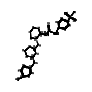 CS(=O)(=O)c1ccc(NC(=O)N[C@@H]2CCCC[C@H]2CN2CCC[C@@H](Cc3ccc(F)cc3)C2)cc1